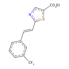 CCOC(=O)c1cnc(C=Cc2cccc(C(F)(F)F)c2)s1